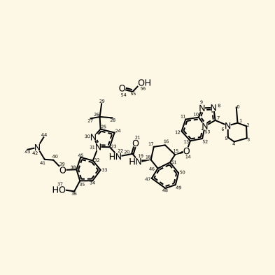 CC1CCCCN1c1nnc2ccc(O[C@@H]3CC[C@H](NC(=O)Nc4cc(C(C)(C)C)nn4-c4ccc(CO)c(OCCN(C)C)c4)c4ccccc43)cn12.O=CO